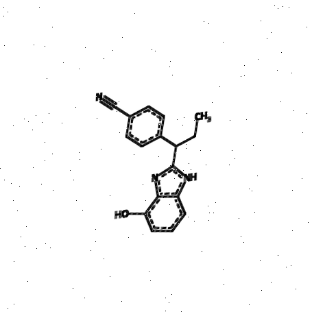 CCC(c1ccc(C#N)cc1)c1nc2c(O)cccc2[nH]1